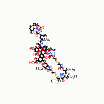 CCCC(=O)OCN(C(=O)[C@@H](NC(=O)[C@H]1CCCCN1C)C(C)CC)[C@H](C[C@@H](OC(C)=O)c1nc(C(=O)N[C@@H](Cc2ccc(O)cc2)C[C@H](C)C(=O)NNC(=O)OCCSSCCC(=O)NC[C@H](NC(C)=O)C(=O)N[C@@H](CC(=O)O)C(=O)N[C@@H](CSSCCOC(=O)NC2CC(O[C@H]3C[C@](O)(C(=O)CO)Cc4c(O)c5c(c(O)c43)C(=O)c3c(OC)cccc3C5=O)OC(C)C2O)C(=O)O)cs1)C(C)C